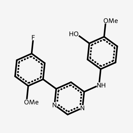 COc1ccc(Nc2cc(-c3cc(F)ccc3OC)ncn2)cc1O